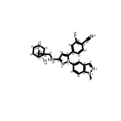 Cn1ncc2cc(-n3nc(NC[C@@H]4CN5CCC4CC5)cc3-c3ccc(C#N)c(F)c3)ccc21